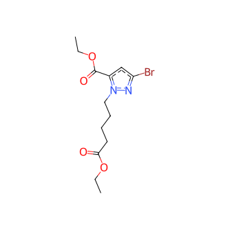 CCOC(=O)CCCCn1nc(Br)cc1C(=O)OCC